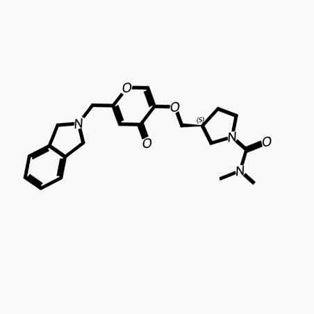 CN(C)C(=O)N1CC[C@H](COc2coc(CN3Cc4ccccc4C3)cc2=O)C1